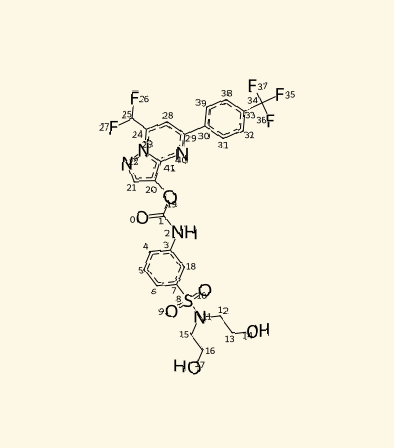 O=C(Nc1cccc(S(=O)(=O)N(CCO)CCO)c1)Oc1cnn2c(C(F)F)cc(-c3ccc(C(F)(F)F)cc3)nc12